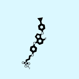 CS(=O)(=O)CCCOc1ccc(Oc2ccc(F)c3c2CCC3Oc2ccc(C3CC3)cc2)cc1